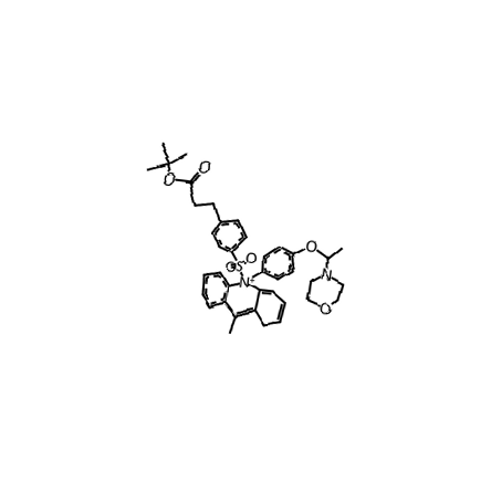 CC1=C2CC=CC=C2[N+](c2ccc(OC(C)N3CCOCC3)cc2)(S(=O)(=O)c2ccc(CCC(=O)OC(C)(C)C)cc2)c2ccccc21